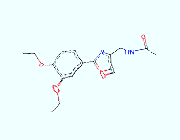 CCOc1ccc(-c2nc(CNC(C)=O)co2)cc1OCC